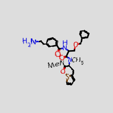 CNC(=O)C(Cc1cccs1)N(C)C(=O)C(COCc1ccccc1)NC(=O)c1cccc(CCN)c1